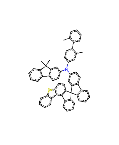 Cc1ccccc1-c1ccc(N(c2ccc3c(c2)C(C)(C)c2ccccc2-3)c2ccc3c(c2)C2(c4ccccc4-3)c3ccccc3-c3c2ccc2sc4ccccc4c32)cc1C